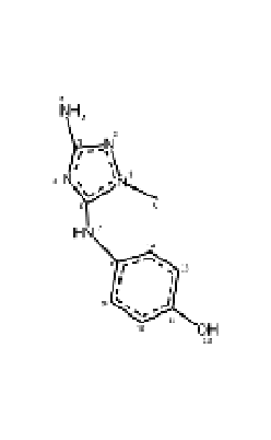 Cn1nc(N)nc1Nc1ccc(O)cc1